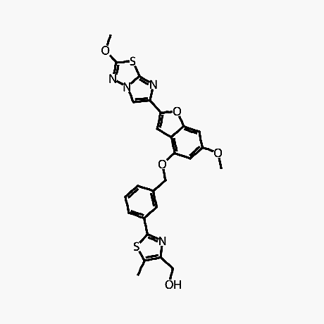 COc1cc(OCc2cccc(-c3nc(CO)c(C)s3)c2)c2cc(-c3cn4nc(OC)sc4n3)oc2c1